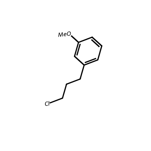 COc1cccc(CCCCl)c1